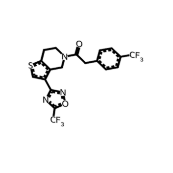 O=C(Cc1ccc(C(F)(F)F)cc1)N1CCc2scc(-c3noc(C(F)(F)F)n3)c2C1